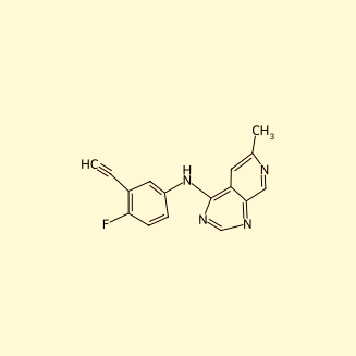 C#Cc1cc(Nc2ncnc3cnc(C)cc23)ccc1F